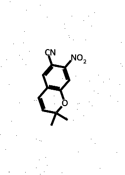 CC1(C)C=Cc2cc(C#N)c([N+](=O)[O-])cc2O1